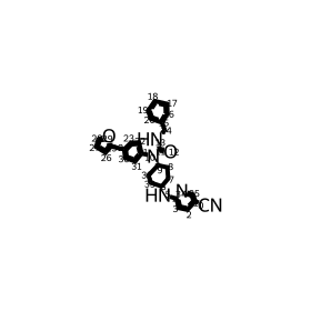 N#Cc1ccc(NC2CCC(N(C(=O)NCc3ccccc3)c3ccc(-c4ccco4)cc3)CC2)nc1